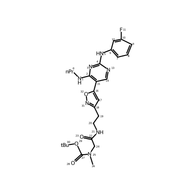 CCCNc1nc(Nc2cccc(F)c2)ncc1-c1cc(CCNC(=O)CN(C)C(=O)OC(C)(C)C)no1